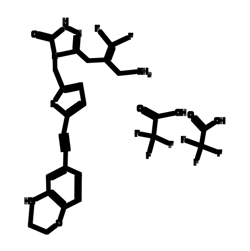 NCC(Cc1n[nH]c(=O)n1Cc1ccc(C#Cc2ccc3c(c2)NCCO3)s1)=C(F)F.O=C(O)C(F)(F)F.O=C(O)C(F)(F)F